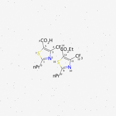 CCCc1nc(C(F)(F)F)c(C(=O)O)s1.CCCc1nc(C(F)(F)F)c(C(=O)OCC)s1